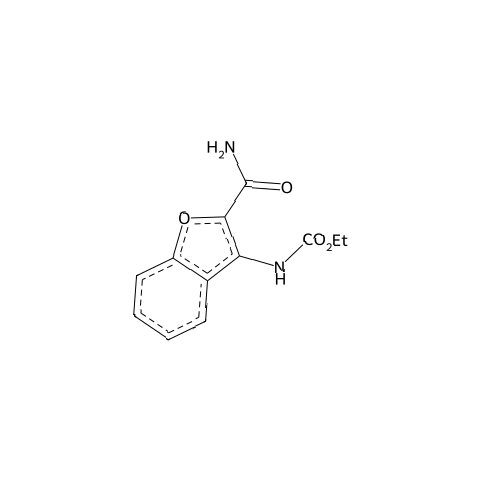 CCOC(=O)Nc1c(C(N)=O)oc2ccccc12